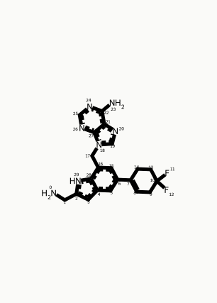 NCc1cc2cc(C3=CCC(F)(F)CC3)cc(Cn3cnc4c(N)ncnc43)c2[nH]1